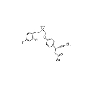 CC#CC(CC(=O)O)c1ccc(OCC2(COc3ccc(F)cc3Cl)CC2)cc1